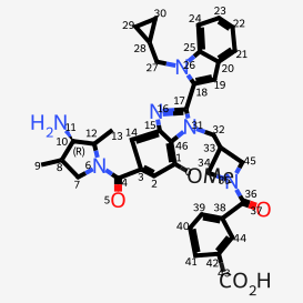 COc1cc(C(=O)N2CC(C)[C@@H](N)C2C)cc2nc(-c3cc4ccccc4n3CC3CC3)n(CC3CN(C(=O)c4cccc(C(=O)O)c4)C3)c12